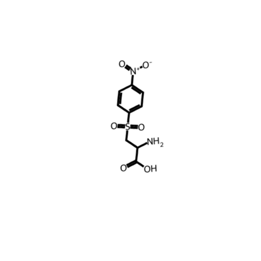 NC(CS(=O)(=O)c1ccc([N+](=O)[O-])cc1)C(=O)O